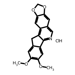 COc1cc2c(cc1OC)-c1ncc3cc4c(cc3c1C2)OCO4.Cl